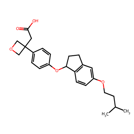 CC(C)CCOc1ccc2c(c1)CCC2Oc1ccc(C2(CC(=O)O)COC2)cc1